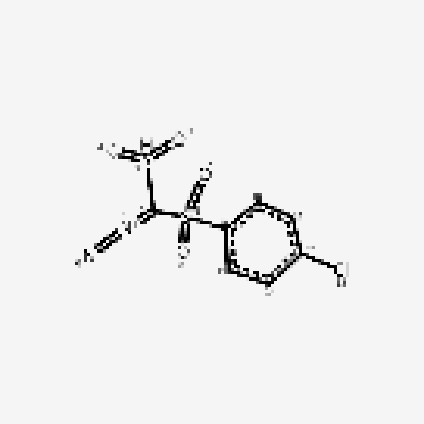 [N-]=[N+]=C([SH](=O)=O)S(=O)(=O)c1ccc(Cl)cc1